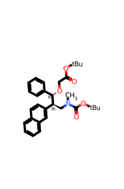 CN(C[C@@H](c1ccc2ccccc2c1)[C@@H](OCC(=O)OC(C)(C)C)c1ccccc1)C(=O)OC(C)(C)C